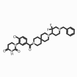 O=C1CCN(c2cc(C(=O)N3CCC4(CC3)CCN(C3CCN(Cc5ccccc5)CC3(F)F)CC4)ccc2Cl)C(=O)N1